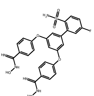 N=C(NO)c1ccc(Oc2cc(Oc3ccc(C(=N)NO)cc3)cc(-c3cc(F)ccc3S(N)(=O)=O)c2)cc1